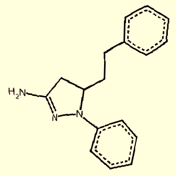 NC1=NN(c2ccccc2)C(CCc2ccccc2)C1